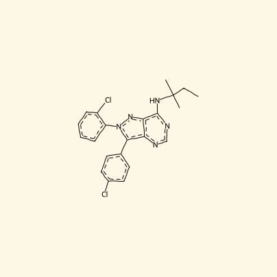 CCC(C)(C)Nc1ncnc2c(-c3ccc(Cl)cc3)n(-c3ccccc3Cl)nc12